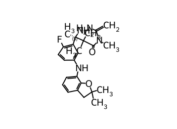 C=C(N)N(C)C(=O)C(C)(C)[C@](C)(N)c1cc(Nc2cccc3c2OC(C)(C)C3)ccc1F